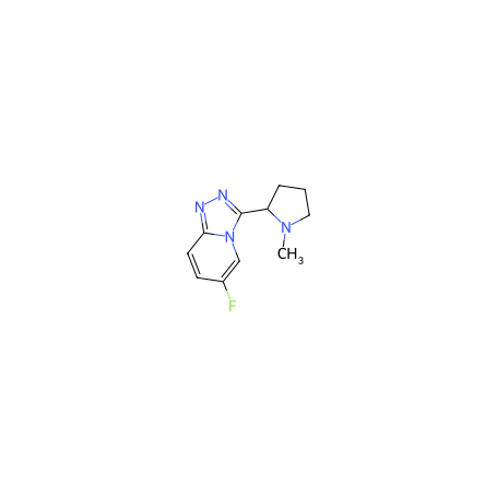 CN1CCCC1c1nnc2ccc(F)cn12